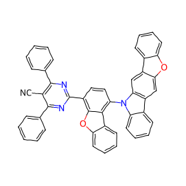 N#Cc1c(-c2ccccc2)nc(-c2ccc(-n3c4ccccc4c4cc5oc6ccccc6c5cc43)c3c2oc2ccccc23)nc1-c1ccccc1